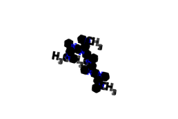 Cn1c2ccccc2c2c3c4cc5c(cc4n4c6ccccc6c(cc21)c34)c1c2c3ccccc3n(C)c2cc2c3cc(-c4cccc6c7cc8c9cc%10c(cc9n9c%11ccccc%11c(c7n(C)c46)c89)c4cc6c7ccccc7n(C)c6c6c7ccccc7n%10c46)ccc3n5c21